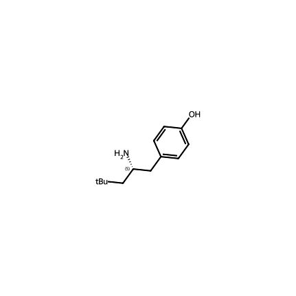 CC(C)(C)C[C@H](N)Cc1ccc(O)cc1